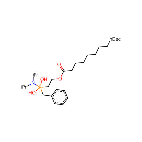 CCCCCCCCCCCCCCCCCC(=O)OCCP(O)(O)(Cc1ccccc1)N(C(C)C)C(C)C